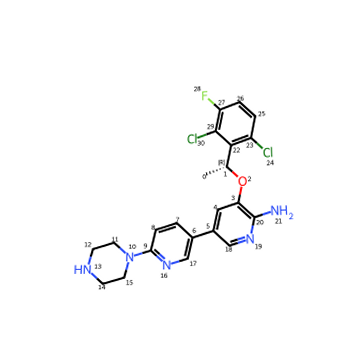 C[C@@H](Oc1cc(-c2ccc(N3CCNCC3)nc2)cnc1N)c1c(Cl)ccc(F)c1Cl